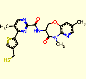 Cc1cnc2c(c1)OC[C@H](NC(=O)c1ncc(C)c(-c3cc(CS)cs3)n1)C(=O)N2C